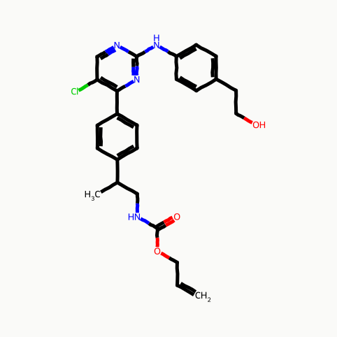 C=CCOC(=O)NCC(C)c1ccc(-c2nc(Nc3ccc(CCO)cc3)ncc2Cl)cc1